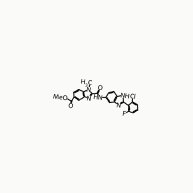 COC(=O)c1ccc2c(c1)nc(C(=O)Nc1ccc3[nH]c(-c4c(F)cccc4Cl)nc3c1)n2C